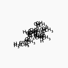 CCOC(Cc1ccc(OC(C)C(=O)N[C@H]2CC[C@H](C(C)(C)C)CC2)cc1)C(=O)O.CCOC(Cc1ccc(OC(C)C(=O)Nc2ccc(C(C)(C)C)cc2)cc1)C(=O)O.CCO[C@@H](Cc1ccc(O[C@H](C)C(=O)NCc2ccc(C(C)(C)C)cc2)cc1)C(=O)O